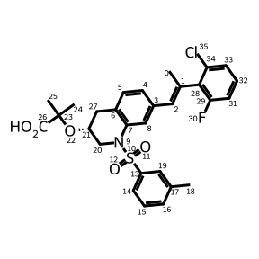 C/C(=C\c1ccc2c(c1)N(S(=O)(=O)c1cccc(C)c1)C[C@H](OC(C)(C)C(=O)O)C2)c1c(F)cccc1Cl